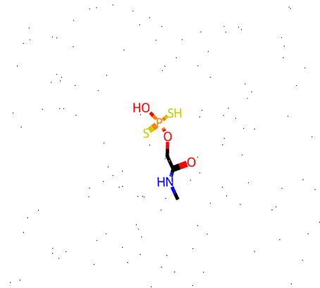 CNC(=O)COP(O)(=S)S